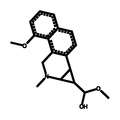 COc1cccc2ccc3c(c12)CN(C)C1C3C1C(O)OC